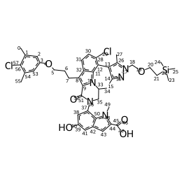 Cc1cc(OCCCc2c3n(c4c(-c5c(C)nn(COCC[Si](C)(C)C)c5C)c(Cl)ccc24)C(C)CN(c2cc(O)cc4cc(C(=O)O)n(C)c24)C3=O)cc(C)c1Cl